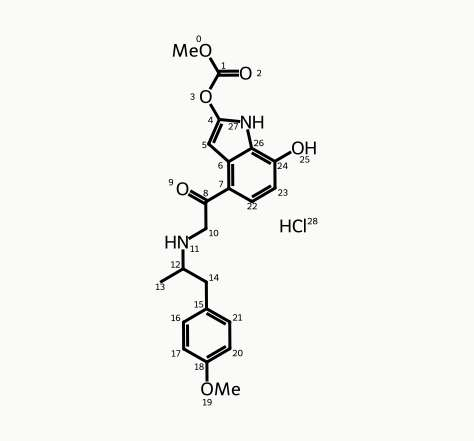 COC(=O)Oc1cc2c(C(=O)CNC(C)Cc3ccc(OC)cc3)ccc(O)c2[nH]1.Cl